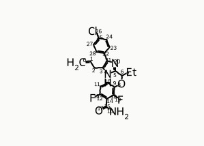 C=CCc1[nH]c(C(CC)Oc2ccc(F)c(C(N)=O)c2F)nc1-c1ccc(Cl)cc1